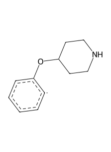 [c]1ccccc1OC1CCNCC1